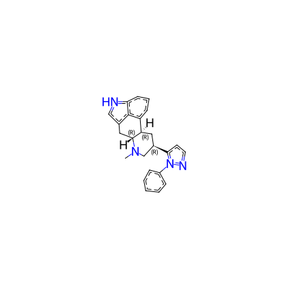 CN1C[C@H](c2ccnn2-c2ccccc2)C[C@@H]2c3cccc4[nH]cc(c34)C[C@H]21